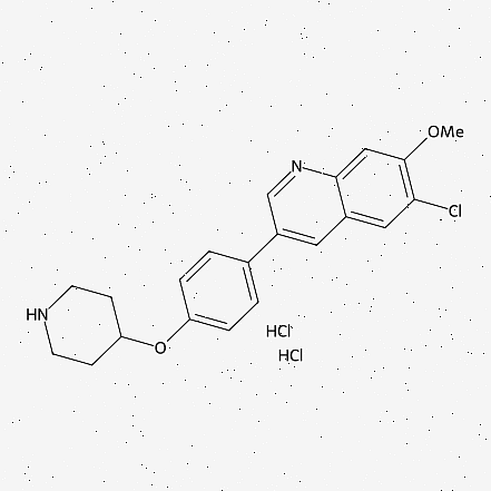 COc1cc2ncc(-c3ccc(OC4CCNCC4)cc3)cc2cc1Cl.Cl.Cl